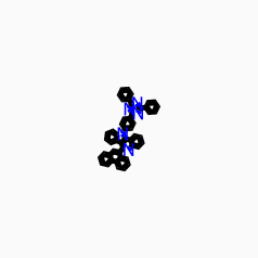 c1ccc(-c2nc(-c3ccccc3)nc(-c3ccc(-n4c5ccccc5c5c(-c6cc7ccccc7c7ccccc67)nc6ccccc6c54)cc3)n2)cc1